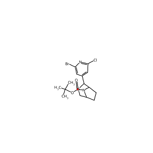 CC(C)(C)OC(=O)N1C2CCC1C(c1cc(Cl)nc(Br)c1)OC2